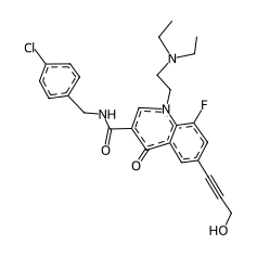 CCN(CC)CCn1cc(C(=O)NCc2ccc(Cl)cc2)c(=O)c2cc(C#CCO)cc(F)c21